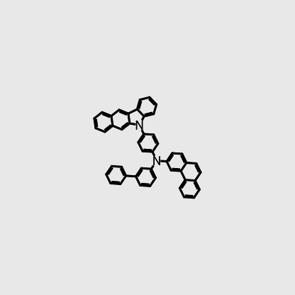 c1ccc(-c2cccc(N(c3ccc(-n4c5ccccc5c5cc6ccccc6cc54)cc3)c3ccc4ccc5ccccc5c4c3)c2)cc1